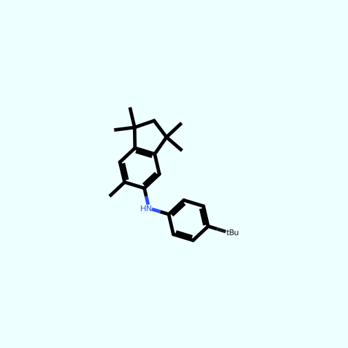 Cc1cc2c(cc1Nc1ccc(C(C)(C)C)cc1)C(C)(C)CC2(C)C